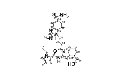 CCn1nc(C)cc1C(=O)Nc1nc2c(C(C)O)cccc2n1CCCCn1c(NC)nc2cc(C(N)=O)ccc21